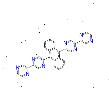 c1ccc2c(-c3cnc(-c4cnccn4)cn3)c3ccccc3c(-c3cnc(-c4cnccn4)cn3)c2c1